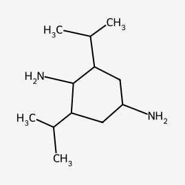 CC(C)C1CC(N)CC(C(C)C)C1N